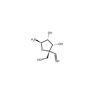 B[C@@H]1O[C@](C=N)(CO)[C@@H](O)[C@H]1O